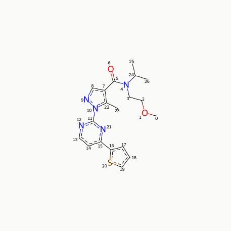 COCCN(C(=O)c1cnn(-c2nccc(-c3cccs3)n2)c1C)C(C)C